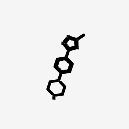 Cn1nnc(-c2ccc(N3CCNCC3)cc2)n1